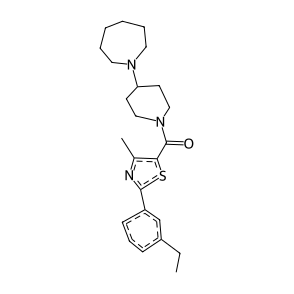 CCc1cccc(-c2nc(C)c(C(=O)N3CCC(N4CCCCCC4)CC3)s2)c1